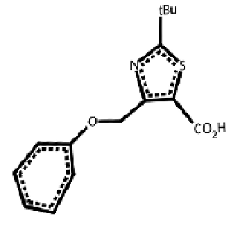 CC(C)(C)c1nc(COc2ccccc2)c(C(=O)O)s1